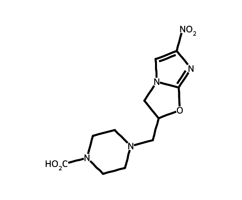 O=C(O)N1CCN(CC2Cn3cc([N+](=O)[O-])nc3O2)CC1